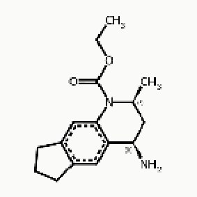 CCOC(=O)N1c2cc3c(cc2[C@H](N)C[C@@H]1C)CCC3